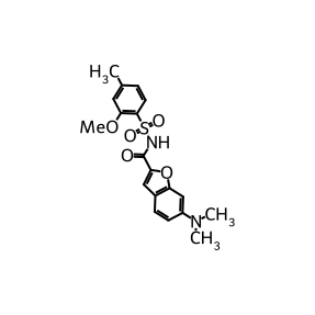 COc1cc(C)ccc1S(=O)(=O)NC(=O)c1cc2ccc(N(C)C)cc2o1